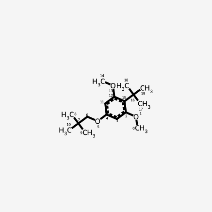 COc1cc(OCC(C)(C)C)cc(OC)c1C(C)(C)C